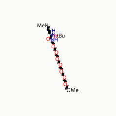 CNCCCC[C@H](NOC(C)(C)C)C(=O)NCCOCCOCCOCCOCCOCCOCCOCCOC